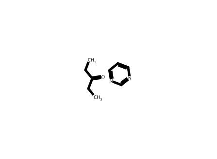 CCC(=O)CC.c1cncnc1